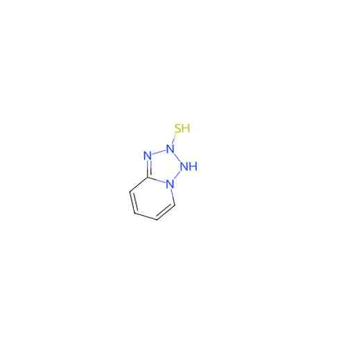 SN1N=C2C=CC=CN2N1